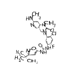 CNc1cc2c(cn1)CN(c1cc(NC(=O)Nc3cc(C(C)(C)C)no3)c(F)cc1Cl)C(=O)N2C